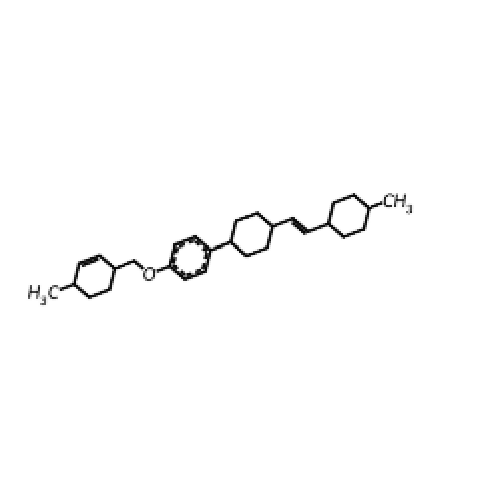 CC1C=CC(COc2ccc(C3CCC(/C=C/C4CCC(C)CC4)CC3)cc2)CC1